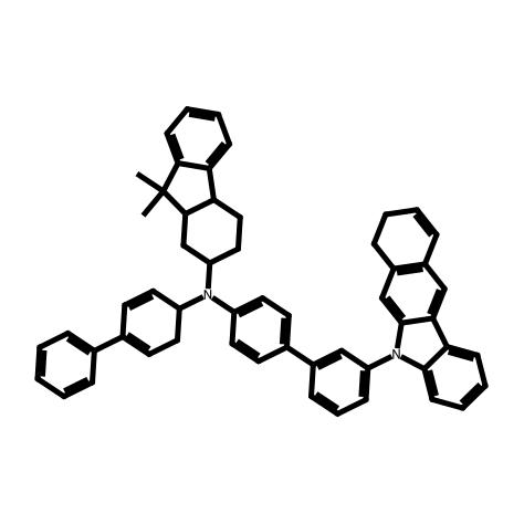 CC1(C)c2ccccc2C2CCC(N(c3ccc(-c4cccc(-n5c6ccccc6c6cc7c(cc65)CCC=C7)c4)cc3)C3C=CC(c4ccccc4)=CC3)CC21